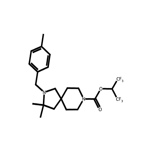 Cc1ccc(CN2CC3(CCN(C(=O)OC(C(F)(F)F)C(F)(F)F)CC3)CC2(C)C)cc1